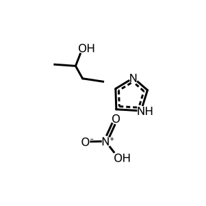 CCC(C)O.O=[N+]([O-])O.c1c[nH]cn1